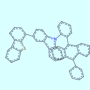 c1ccc(-c2c3ccccc3c(-c3ccccc3-n3c4ccccc4c4cc(-c5cccc6c5sc5ccccc56)ccc43)c3ccccc23)cc1